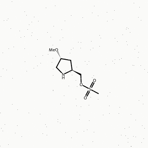 CO[C@H]1CN[C@H](COS(C)(=O)=O)C1